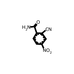 N#Cc1cc([N+](=O)[O-])ccc1C(N)=O